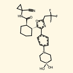 N#CC1(NC(=O)[C@@H]2CCCC[C@H]2c2oc(CC(F)(F)F)nc2-c2ccc(N3CCS(O)(O)CC3)cc2)CC1